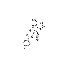 CC(=O)O[C@H]1C(CS)O[C@@H]2C(OC(=O)c3ccc(C)cc3)C21N=[N+]=[N-]